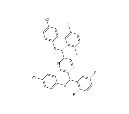 Fc1ccc(F)c(C(Sc2ccc(Cl)cc2)c2ccc(C(Sc3ccc(Cl)cc3)c3cc(F)ccc3F)nc2)c1